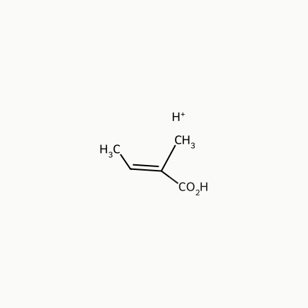 CC=C(C)C(=O)O.[H+]